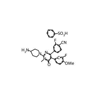 COc1ccc(-c2c(-c3ccc(C#N)c(F)c3)nc(N3CCC(N)CC3)n(C)c2=O)cc1F.O=S(=O)(O)c1ccccc1